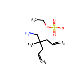 C=CCC(C)(CN)CC=C.CCOS(=O)(=O)O